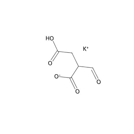 O=CC(CC(=O)O)C(=O)[O-].[K+]